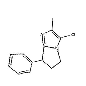 Clc1c(I)nc2n1CCC2c1ccccc1